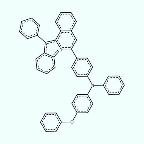 c1ccc(Oc2ccc(N(c3ccccc3)c3ccc(-c4cc5ccccc5c5c(-c6ccccc6)c6ccccc6n45)cc3)cc2)cc1